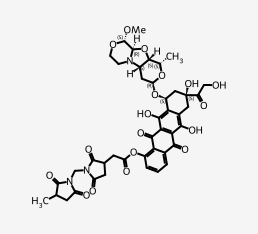 CO[C@H]1OCCN2[C@@H]1O[C@@H]1[C@H](C)O[C@@H](O[C@H]3C[C@](O)(C(=O)CO)Cc4c(O)c5c(c(O)c43)C(=O)c3c(OC(=O)CC4CC(=O)N(CN6C(=O)CC(C)C6=O)C4=O)cccc3C5=O)C[C@@H]12